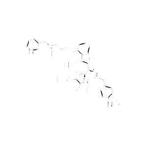 Cc1nc(C(=NOCc2ccc([N+](=O)[O-])cc2)c2oc3cccc(OCCCNCc4cccnc4)c3c2C)sc1C